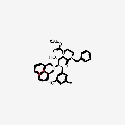 CC(C)(C)OC(=O)N1CCN(Cc2ccccc2)C(=O)[C@@H]1[C@@H](O)[C@H](Cc1cc(O)cc(F)c1)N(Cc1ccccc1)Cc1ccccc1